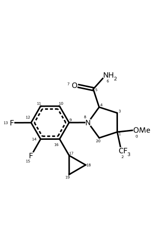 COC1(C(F)(F)F)CC(C(N)=O)N(c2ccc(F)c(F)c2C2CC2)C1